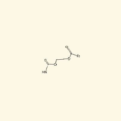 CCC(=O)OCOC([NH])=O